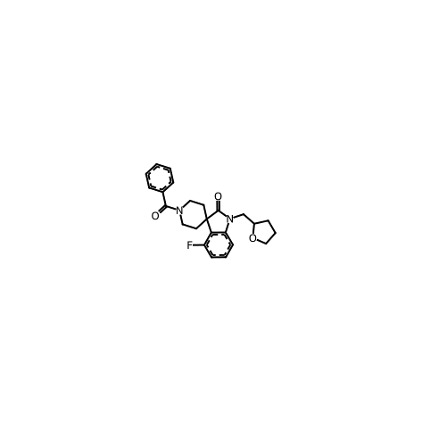 O=C(c1ccccc1)N1CCC2(CC1)C(=O)N(CC1CCCO1)c1cccc(F)c12